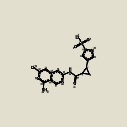 CCS(=O)(=O)n1cc(C2CC2C(=O)Nc2cc3cc(Cl)nc(N)c3cn2)cn1